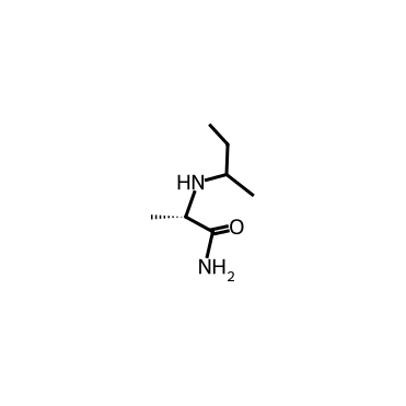 CCC(C)N[C@@H](C)C(N)=O